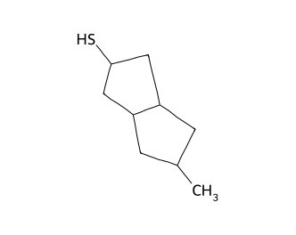 CC1CC2CC(S)CC2C1